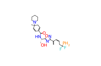 C=C(/C=C\CC(F)(F)P)c1noc([C@H](CO)NC(=O)C2=CCC(C)(N3CCCCC3)C=C2)n1